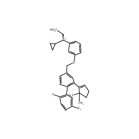 CC1(C)CCC=C1c1cc(COc2cccc([C@H](CC(=O)O)C3CC3)c2)ccc1-c1cc(C(F)(F)F)ccc1F